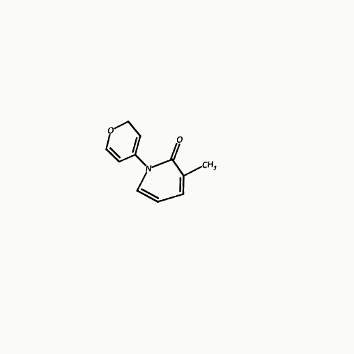 Cc1cccn(C2=CCOC=C2)c1=O